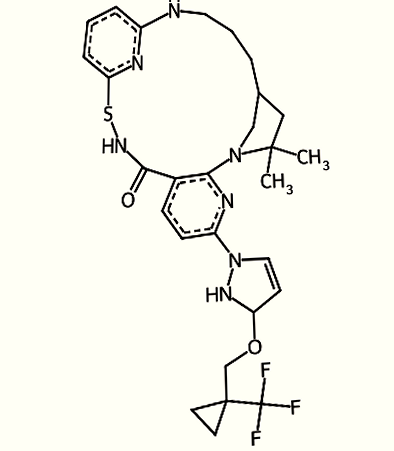 CC1(C)CC2CCCNc3cccc(n3)SNC(=O)c3ccc(N4C=CC(OCC5(C(F)(F)F)CC5)N4)nc3N1C2